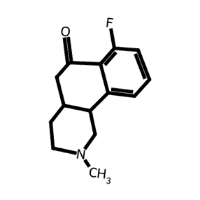 CN1CCC2CC(=O)c3c(F)cccc3C2C1